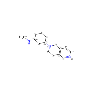 CN[C@@H]1CCC[C@H](N2CCc3cnccc3C2)C1